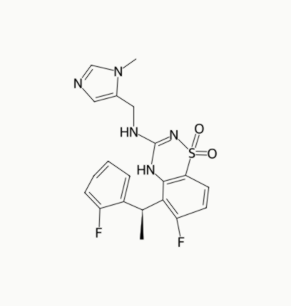 C[C@@H](c1ccccc1F)c1c(F)ccc2c1NC(NCc1cncn1C)=NS2(=O)=O